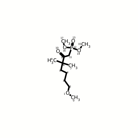 COCCCCC(C)(C)C(=O)CP(=O)(OC)OC